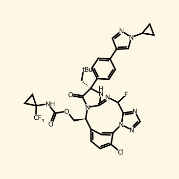 CC(C)(C)C[C@]1(c2ccc(-c3cnn(C4CC4)c3)cc2)N/C2=N\C(F)c3ncnn3-c3cc(ccc3Cl)[C@@H](COC(=O)NC3(C(F)(F)F)CC3)N2C1=O